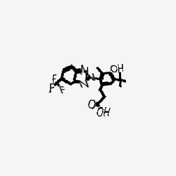 Cc1c(O)c(C(C)(C)C)cc(CCC(=O)O)c1-n1nc2ccc(C(F)(F)F)cc2n1